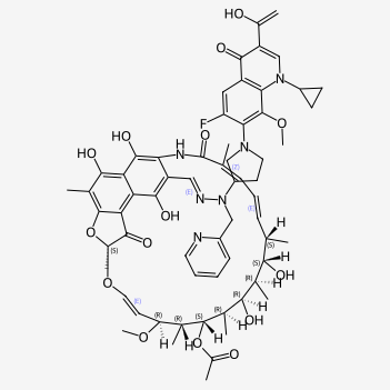 C=C(O)c1cn(C2CC2)c2c(OC)c(N3CCC(N(Cc4ccccn4)/N=C/c4c5c(O)c6c(O)c(C)c7c(c6c4O)C(=O)[C@@](C)(O/C=C/[C@H](OC)[C@@H](C)[C@@H](OC(C)=O)[C@H](C)[C@H](O)[C@H](C)[C@@H](O)[C@@H](C)/C=C/C=C(/C)C(=O)N5)O7)C3)c(F)cc2c1=O